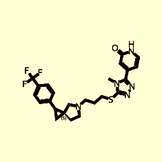 Cn1c(SCCCN2CC[C@]3(CC3c3ccc(C(F)(F)F)cc3)C2)nnc1-c1cc[nH]c(=O)c1